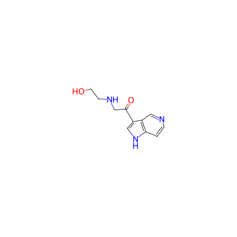 O=C(CNCCO)c1c[nH]c2ccncc12